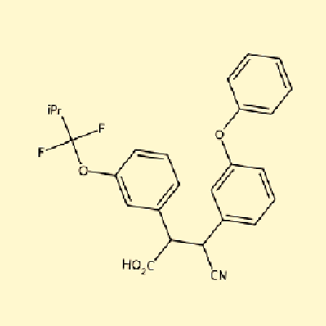 CC(C)C(F)(F)Oc1cccc(C(C(=O)O)C(C#N)c2cccc(Oc3ccccc3)c2)c1